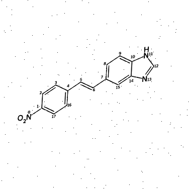 O=[N+]([O-])c1ccc(C=Cc2ccc3[nH]cnc3c2)cc1